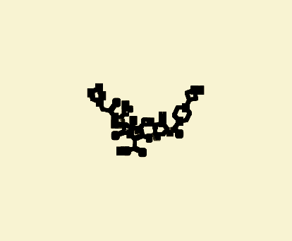 CC(NC(=O)Cn1cnnn1)[C@H]1C(=O)N2C(C(=O)O)=C(S[C@@H]3CN[C@H](C(=O)N4CCN(C5CNC5)CC4)C3)[C@H](C)[C@H]12